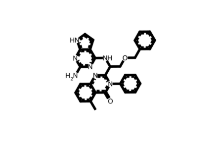 Cc1cccc2nc(C(COCc3ccccc3)Nc3nc(N)nc4[nH]ccc34)n(-c3ccccc3)c(=O)c12